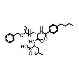 CCCCc1ccc(C(=O)N[C@@H](CNC(=O)OCc2ccccc2)C(=O)N[C@@H](CC(C)C)B(O)O)cc1